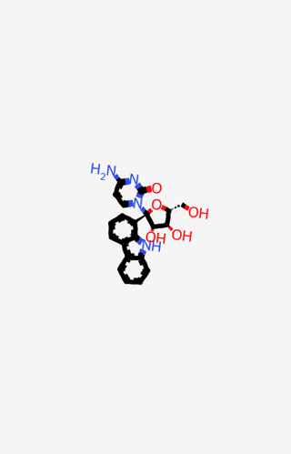 Nc1ccn([C@]2(c3cccc4c3[nH]c3ccccc34)O[C@H](CO)[C@@H](O)[C@H]2O)c(=O)n1